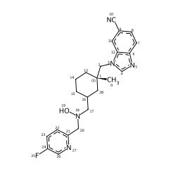 C[C@]1(Cn2cnc3ccc(C#N)cc32)CCCC(CN(O)Cc2ccc(F)cn2)C1